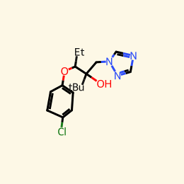 CCC(Oc1ccc(Cl)cc1)C(O)(Cn1cncn1)C(C)(C)C